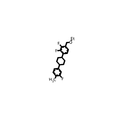 CCOCc1ccc(C2CCC(c3ccc(C)c(F)c3)CC2)c(F)c1F